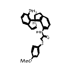 COc1ccc(SCC(=O)Nc2cccc3c2[C@]2(CCc4cccc(P)c42)CC3)cc1